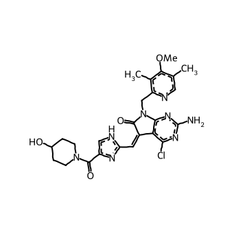 COc1c(C)cnc(CN2C(=O)C(=Cc3nc(C(=O)N4CCC(O)CC4)c[nH]3)c3c(Cl)nc(N)nc32)c1C